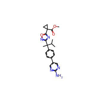 COC(=O)C1(c2nc(C(C)(c3ccc(-c4cnc(N)nc4)cc3)C(C)C)no2)CC1